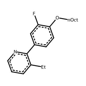 CCCCCCCCOc1ccc(-c2ncccc2CC)cc1F